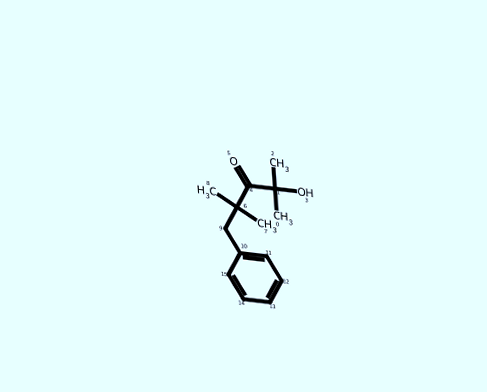 CC(C)(O)C(=O)C(C)(C)Cc1ccccc1